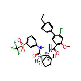 CCc1ccc(-c2cc(C(=O)N[C@@H]3[C@H]4CC[C@H](C4)[C@@H]3C(=O)Nc3cccc(S(=O)(=O)C(F)(F)F)c3)c(OC)cc2F)cc1